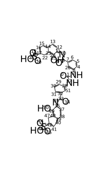 O=C(Nc1cccc(C(=O)N=C2C=CC3=CC=C(S(=O)(=O)O)CC3=C2O)c1)Nc1cccc(C(=O)N=C2C=CC3=CC=C(S(=O)(=O)O)CC3=C2O)c1